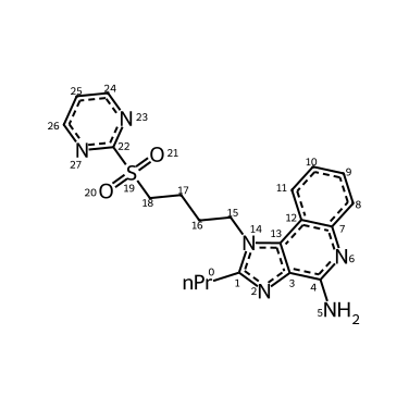 CCCc1nc2c(N)nc3ccccc3c2n1CCCCS(=O)(=O)c1ncccn1